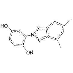 Cc1cc(C)c2nn(-c3cc(O)ccc3O)nc2c1